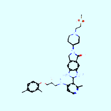 Cc1ccc(OC[C@H](O)CNc2ccnc(C)c2C2Nc3cc4c(cc3N2)C(=O)N(C2CCN(CCS(C)(=O)=O)CC2)C4)c(C)c1